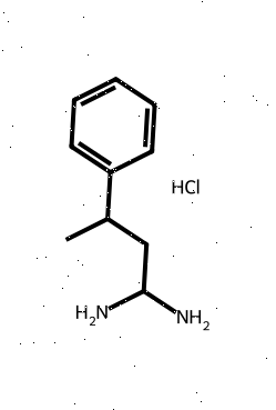 CC(CC(N)N)c1ccccc1.Cl